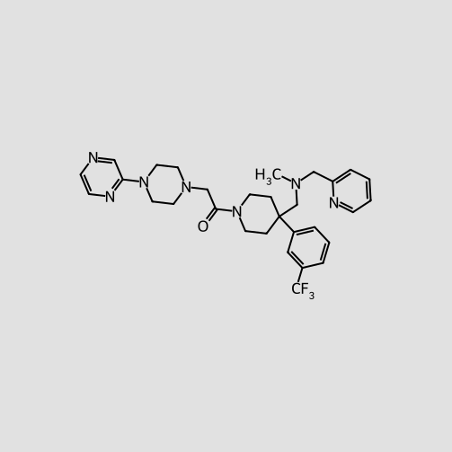 CN(Cc1ccccn1)CC1(c2cccc(C(F)(F)F)c2)CCN(C(=O)CN2CCN(c3cnccn3)CC2)CC1